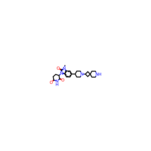 Cn1c(=O)n(C2CCC(=O)NC2=O)c2ccc(C3CCN(C4CC5(CCNCC5)C4)CC3)cc21